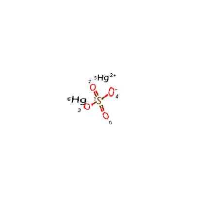 O=S(=O)([O-])[O-].[Hg+2].[Hg]